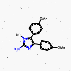 COc1ccc(-c2nc(N)n(C#N)c2-c2ccc(OC)cc2)cc1